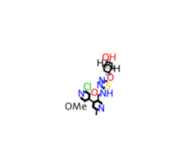 COc1cnc(Cl)cc1-c1cc(C)ncc1C(=O)Nc1nnc(O[C@H]2C[C@H]3C[C@@H]2C[C@@H]3O)s1